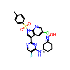 Cc1ccc(S(=O)(=O)n2cc(-c3ncc(F)c(N[C@H]4CCC/C(=N\O)C4)n3)c3cc(Cl)cnc32)cc1